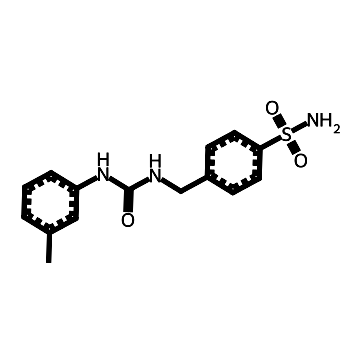 Cc1cccc(NC(=O)NCc2ccc(S(N)(=O)=O)cc2)c1